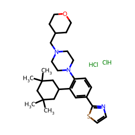 CC1(C)CC(c2cc(-c3nccs3)ccc2N2CCN(CC3CCOCC3)CC2)CC(C)(C)C1.Cl.Cl